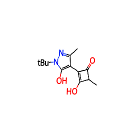 Cc1nn(C(C)(C)C)c(O)c1C1=C(O)C(C)C1=O